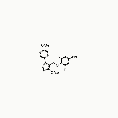 CCCCc1cc(F)c(OCc2c(OC)nsc2-c2ccc(OC)cc2)c(F)c1